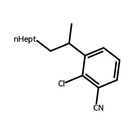 CCCCCCCCC(C)c1cccc(C#N)c1Cl